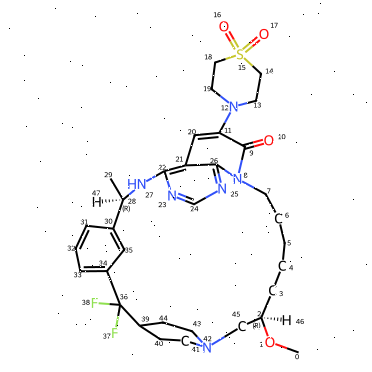 CO[C@@H]1CCCCCn2c(=O)c(N3CCS(=O)(=O)CC3)cc3c(ncnc32)N[C@H](C)c2cccc(c2)C(F)(F)C2CCN(CC2)C1